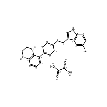 Clc1ccc2[nH]cc(CCN3CCN(c4cccc5c4OCCO5)CC3)c2c1.O=C(O)C(=O)O